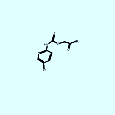 CC(C)(C)C(=O)CSC(=S)Nc1ccc(Cl)cn1